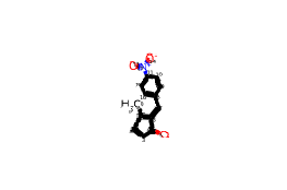 CC1C=CC(=O)/C1=C/c1ccc([N+](=O)[O-])cc1